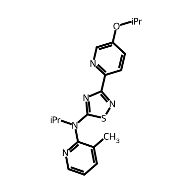 Cc1cccnc1N(c1nc(-c2ccc(OC(C)C)cn2)ns1)C(C)C